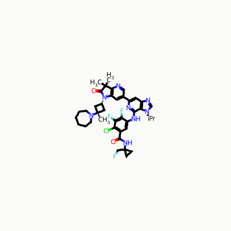 CC(C)n1cnc2cc(-c3cnc4c(c3)N([C@H]3C[C@@](C)(N5CCCCCC5)C3)C(=O)C4(C)C)nc(Nc3cc(C(=O)NC4(CF)CC4)c(Cl)c(F)c3F)c21